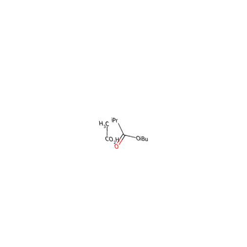 CC(=O)O.CC(C)COC(=O)C(C)C